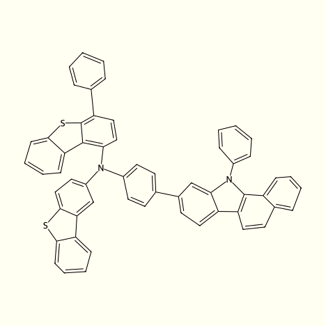 c1ccc(-c2ccc(N(c3ccc(-c4ccc5c6ccc7ccccc7c6n(-c6ccccc6)c5c4)cc3)c3ccc4sc5ccccc5c4c3)c3c2sc2ccccc23)cc1